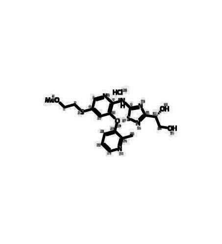 COCCSc1cnc(Nc2nc([C@H](O)CO)ns2)c(Oc2cccnc2C)c1.Cl